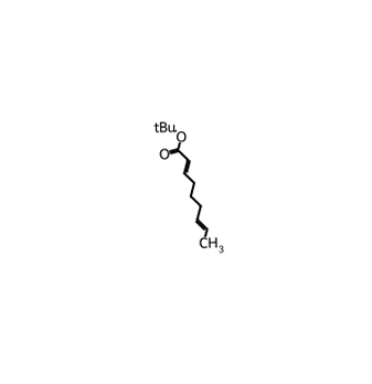 CC=CCCCC=CC(=O)OC(C)(C)C